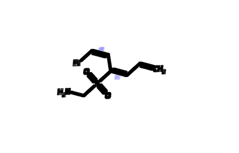 C=C/C=C(\C=C/CC)S(=O)(=O)CN